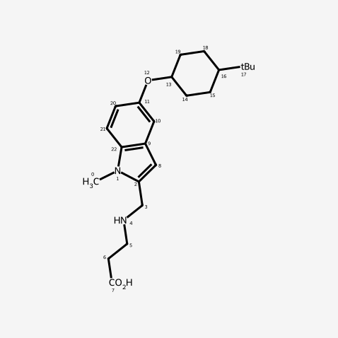 Cn1c(CNCCC(=O)O)cc2cc(OC3CCC(C(C)(C)C)CC3)ccc21